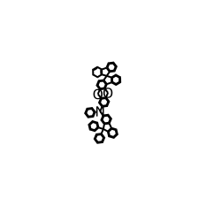 C1=CC2=C(CC1)C1(c3ccccc32)c2ccccc2-c2c1ccc1c2Oc2ccc(N(c3ccccc3)c3ccc4c(c3)C(c3ccccc3)(c3ccccc3)c3ccccc3-4)cc2O1